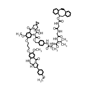 COc1ccc(C2=CN3C(=O)c4cc(OC)c(OCCCOc5cc6c(cc5OC)C(=O)N5CC7(CC7)C[C@H]5C(O)N6C(=O)OCc5ccc(NC(=O)[C@H](C)NC(=O)[C@@H](NC(=O)CNC(=O)CNC(=O)OC6Cc7ccccc7C#Cc7ccccc76)C(C)C)cc5)cc4NC[C@@H]3C2)cc1